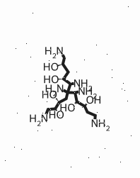 NCC[C@H](O)[C@@H](O)C(N)C(N)(C[C@@H](O)[C@H](O)CN)C(N)[C@H](O)C[C@H](O)CN